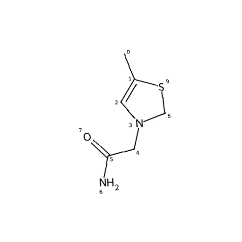 CC1=CN(CC(N)=O)CS1